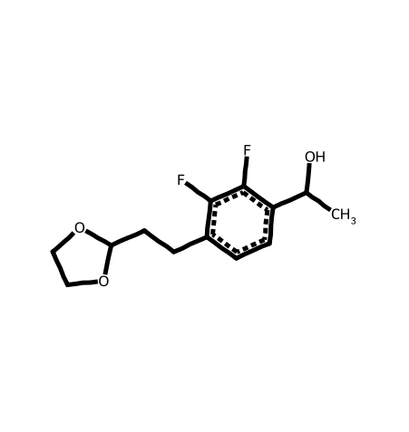 CC(O)c1ccc(CCC2OCCO2)c(F)c1F